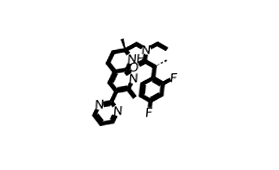 CCN(C[C@@]1(C)CCc2cc(-c3ncccn3)c(C)nc2N1)C(=O)[C@H](C)c1ccc(F)cc1F